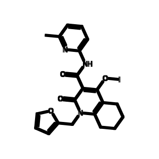 Cc1cccc(NC(=O)c2c(OI)c3c(n(Cc4ccco4)c2=O)CCCC3)n1